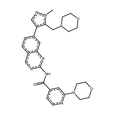 Cn1ncc(-c2ccc3cnc(NC(=O)c4ccnc(N5CCOCC5)c4)nc3c2)c1CN1CCOCC1